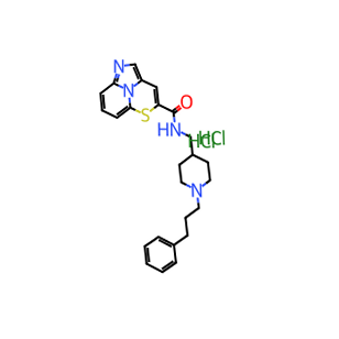 Cl.Cl.O=C(NCC1CCN(CCCc2ccccc2)CC1)C1=Cc2cnc3cccc(n23)S1